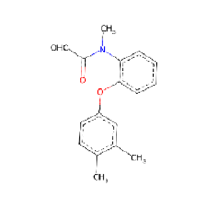 Cc1ccc(Oc2ccccc2N(C)C(=O)C=O)cc1C